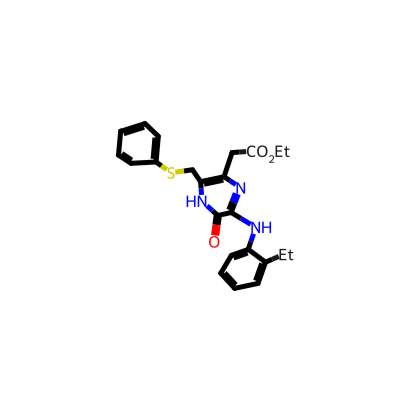 CCOC(=O)Cc1nc(Nc2ccccc2CC)c(=O)[nH]c1CSc1ccccc1